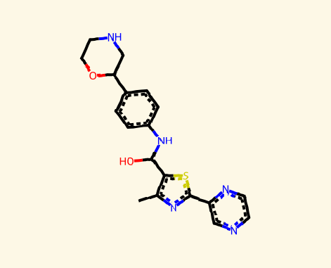 Cc1nc(-c2cnccn2)sc1C(O)Nc1ccc(C2CNCCO2)cc1